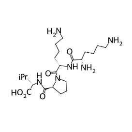 CC(C)[C@H](NC(=O)[C@@H]1CCCN1C(=O)[C@H](CCCCN)NC(=O)[C@@H](N)CCCCN)C(=O)O